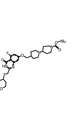 CC(C)(C)OC(=O)N1CCC(N2CCC(COc3cc(F)c4c(=O)[nH]c(CSC5CCOCC5)nc4c3)CC2)CC1